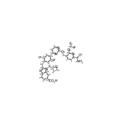 NC(=O)c1ccc(COc2nccc(-c3cc(F)c(Cc4nc5ccc(C(=O)O)cc5n4C[C@@H]4CCO4)cc3F)n2)c(OC(F)F)n1